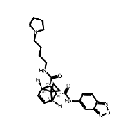 O=C(NCCCCN1CCCC1)[C@H]1[C@H](C(=O)Nc2ccc3nonc3c2)[C@@H]2C=C[C@H]1C21CC1